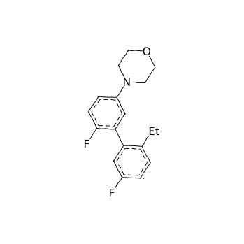 CCc1c[c]c(F)cc1-c1cc(N2CCOCC2)ccc1F